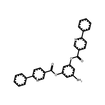 Bc1cc(OC(=O)c2ccc(-c3ccccc3)nc2)cc(OC(=O)c2ccc(-c3ccccc3)nc2)c1